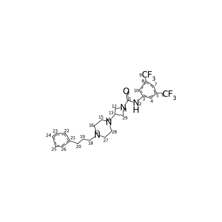 O=C(Nc1cc(C(F)(F)F)cc(C(F)(F)F)c1)N1CC(N2CCN(CCCc3ccccc3)CC2)C1